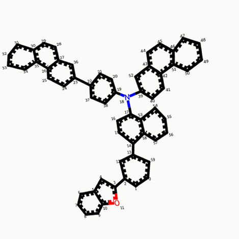 c1cc(-c2cc3ccccc3o2)cc(-c2ccc(N(c3ccc(-c4ccc5c(ccc6ccccc65)c4)cc3)c3ccc4c(ccc5ccccc54)c3)c3ccccc23)c1